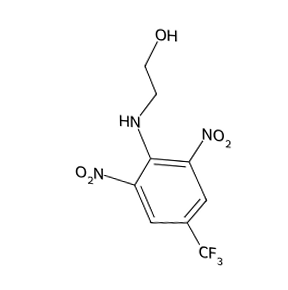 O=[N+]([O-])c1cc(C(F)(F)F)cc([N+](=O)[O-])c1NCCO